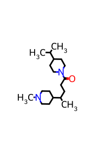 CC(C)C1CCN(C(=O)CCC(C)C2CCN(C)CC2)CC1